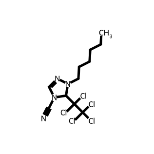 CCCCCCN1N=CN(C#N)C1C(Cl)(Cl)C(Cl)(Cl)Cl